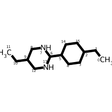 CCC1CCC(C2NCC(CC)CN2)CC1